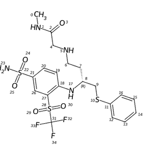 CNC(=O)CNCC[C@H](CSc1ccccc1)Nc1ccc(S(N)(=O)=O)cc1S(=O)(=O)C(F)(F)F